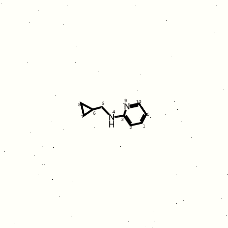 c1ccc(NCC2CC2)nc1